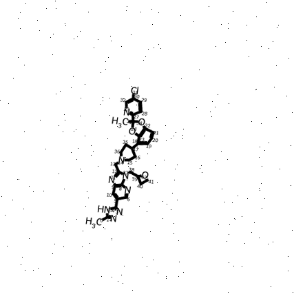 Cc1nnc(-c2cnc3c(c2)nc(CN2CCC(c4cccc5c4OC(C)(c4ccc(Cl)cn4)O5)CC2)n3CC2CCO2)[nH]1